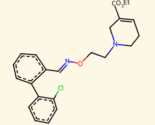 CCOC(=O)C1=CCCN(CCON=Cc2ccccc2-c2ccccc2Cl)C1